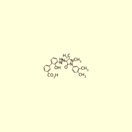 Cc1ccc(N2C(=O)/C(=N\Nc3cccc(-c4cccc(C(=O)O)c4)c3O)C(C)N2C)cc1C